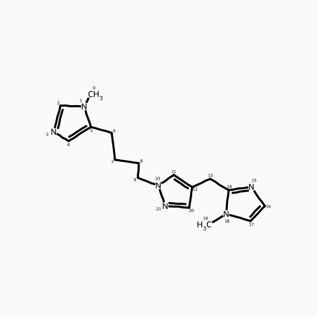 Cn1cncc1CCCCn1cc(Cc2nccn2C)cn1